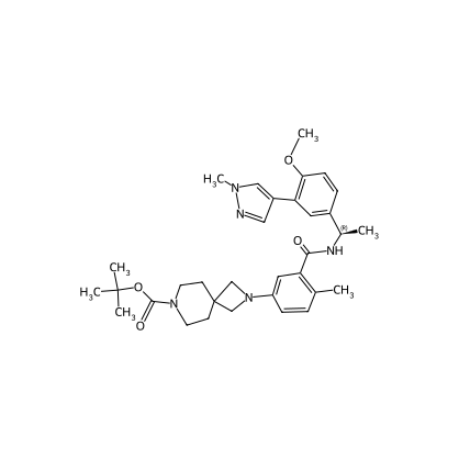 COc1ccc([C@@H](C)NC(=O)c2cc(N3CC4(CCN(C(=O)OC(C)(C)C)CC4)C3)ccc2C)cc1-c1cnn(C)c1